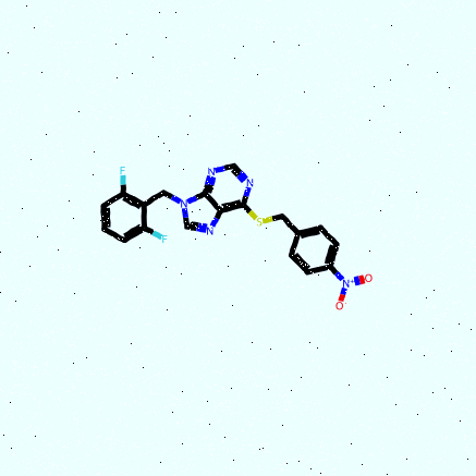 O=[N+]([O-])c1ccc(CSc2ncnc3c2ncn3Cc2c(F)cccc2F)cc1